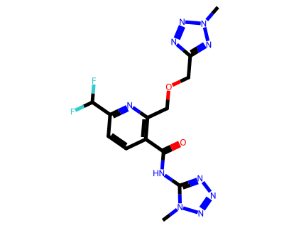 Cn1nnc(COCc2nc(C(F)F)ccc2C(=O)Nc2nnnn2C)n1